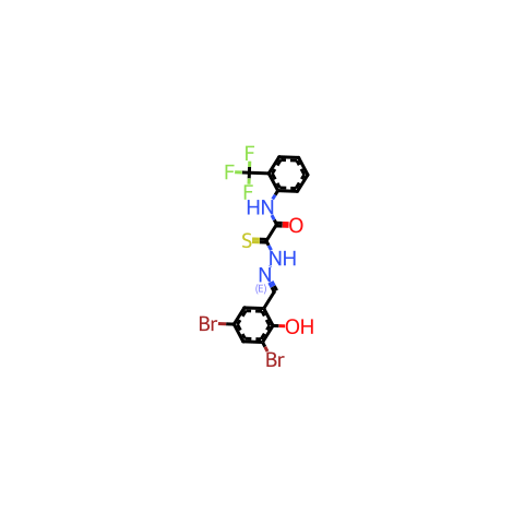 O=C(Nc1ccccc1C(F)(F)F)C(=S)N/N=C/c1cc(Br)cc(Br)c1O